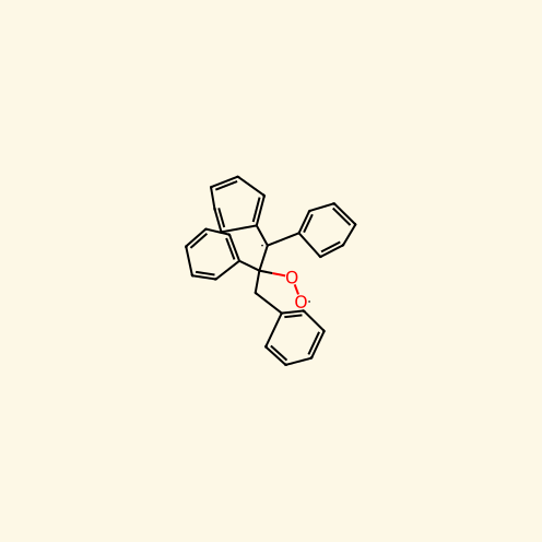 [O]OC(Cc1ccccc1)([C](c1ccccc1)c1ccccc1)c1ccccc1